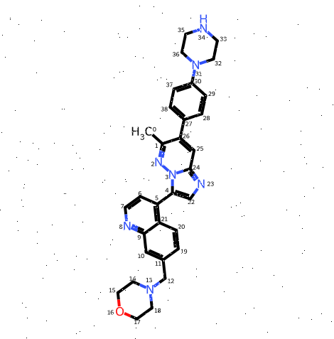 Cc1nn2c(-c3ccnc4cc(CN5CCOCC5)ccc34)cnc2cc1-c1ccc(N2CCNCC2)cc1